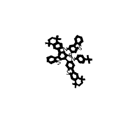 CC(C)(C)c1ccc(N2B3c4cc5sc6ccccc6c5cc4-n4c5cc6c(cc5c5c7c(sc8ccccc87)c(c3c54)-c3cc4sc5cc7c(cc5c4cc32)C(C)(C)CCC7(C)C)C(C)(C)CCC6(C)C)cc1